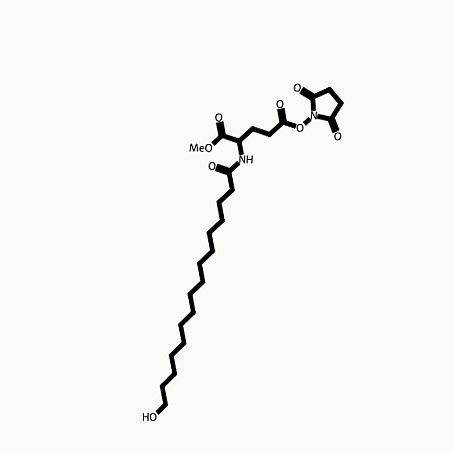 COC(=O)C(CCC(=O)ON1C(=O)CCC1=O)NC(=O)CCCCCCCCCCCCCCCO